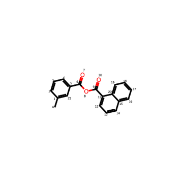 Cc1cccc(C(=O)OC(=O)c2cccc3ccccc23)c1